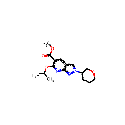 COC(=O)c1cc2cn(C3CCCOC3)nc2nc1OC(C)C